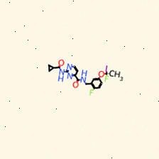 C[C@@](F)(I)Oc1ccc(F)c(CNC(=O)c2ccnc(NC(=O)C3CC3)n2)c1